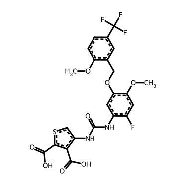 COc1ccc(C(F)(F)F)cc1COc1cc(NC(=O)Nc2csc(C(=O)O)c2C(=O)O)c(F)cc1OC